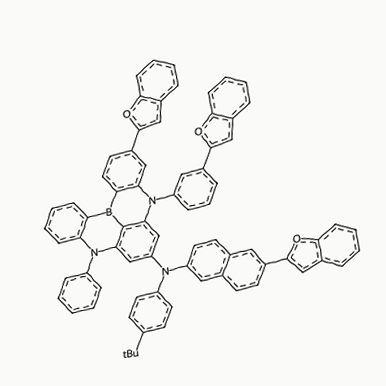 CC(C)(C)c1ccc(N(c2cc3c4c(c2)N(c2cccc(-c5cc6ccccc6o5)c2)c2cc(-c5cc6ccccc6o5)ccc2B4c2ccccc2N3c2ccccc2)c2ccc3cc(-c4cc5ccccc5o4)ccc3c2)cc1